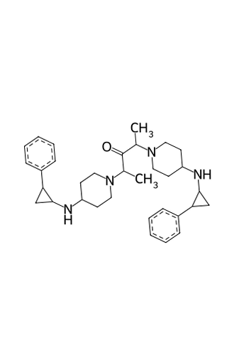 CC(C(=O)C(C)N1CCC(NC2CC2c2ccccc2)CC1)N1CCC(NC2CC2c2ccccc2)CC1